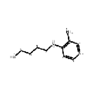 Nc1cnccc1NCCCCO